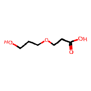 O=C(O)CCOCCCO